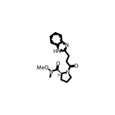 CON(C)C(=O)[C@@H]1CCCN1C(=O)CCc1nc2ccccc2[nH]1